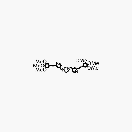 COc1cc(C#Cc2cc(CN3CCCN(Cc4ccnc(C#Cc5cc(OC)c(OC)c(OC)c5)c4)CC3)ccn2)cc(OC)c1OC